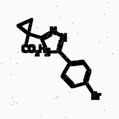 O=C(O)C1(c2nnc(-c3ccc(Br)cc3)s2)CC1